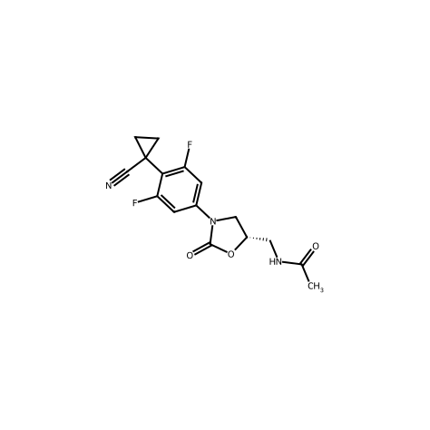 CC(=O)NC[C@H]1CN(c2cc(F)c(C3(C#N)CC3)c(F)c2)C(=O)O1